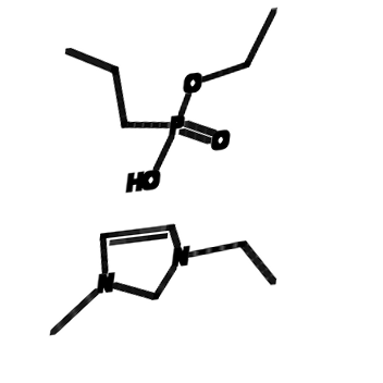 CCCP(=O)(O)OCC.CCN1C=CN(C)C1